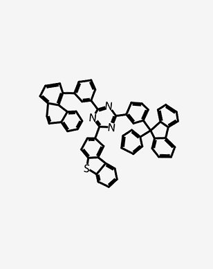 c1ccc(C2(c3cccc(-c4nc(-c5cccc(-c6cccc7ccc8ccccc8c67)c5)nc(-c5ccc6sc7ccccc7c6c5)n4)c3)c3ccccc3-c3ccccc32)cc1